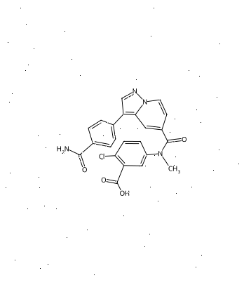 CN(C(=O)c1ccn2ncc(-c3ccc(C(N)=O)cc3)c2c1)c1ccc(Cl)c(C(=O)O)c1